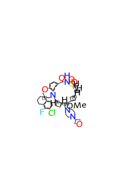 CO[C@@]1(CN2CCN(C3COC3)CC2)C2=C[C@@H](C2)[C@H](C)[C@@H](C)S(=O)(=O)NC(=O)c2ccc3c(c2)N(C[C@@H]2CC[C@H]21)C[C@@]1(CCCc2c1ccc(Cl)c2F)CO3